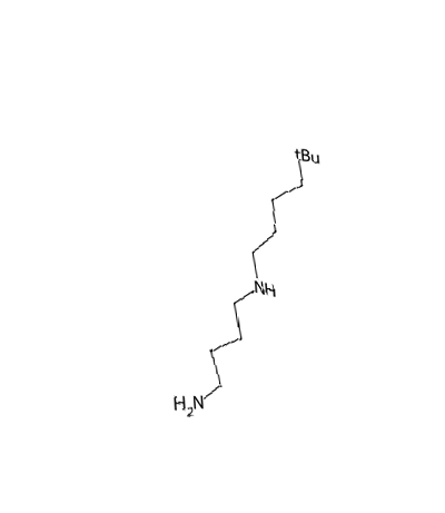 CC(C)(C)CCCCNCCCCN